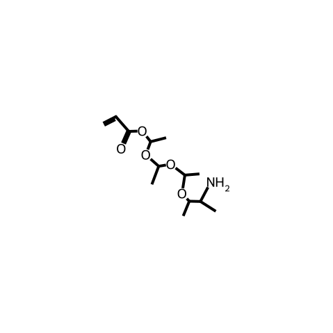 C=CC(=O)OC(C)OC(C)OC(C)OC(C)C(C)N